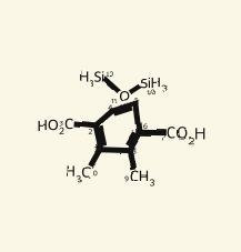 Cc1c(C(=O)O)ccc(C(=O)O)c1C.[SiH3]O[SiH3]